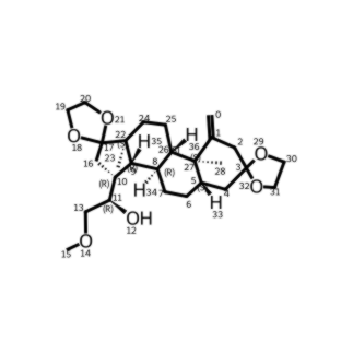 C=C1CC2(C[C@@H]3CC[C@H]4[C@@H]5[C@H]([C@@H](O)COC)CC6(OCCO6)[C@@]5(C)CC[C@@H]4[C@@]13C)OCCO2